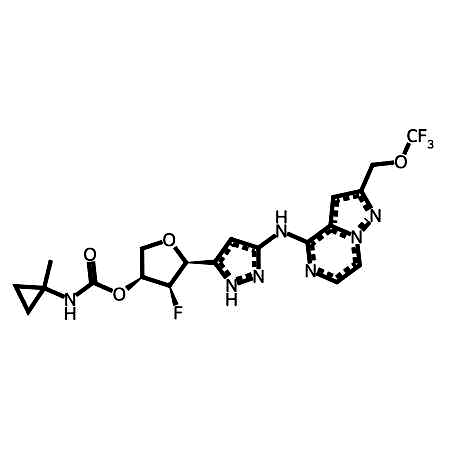 CC1(NC(=O)O[C@H]2CO[C@@H](c3cc(Nc4nccn5nc(COC(F)(F)F)cc45)n[nH]3)[C@H]2F)CC1